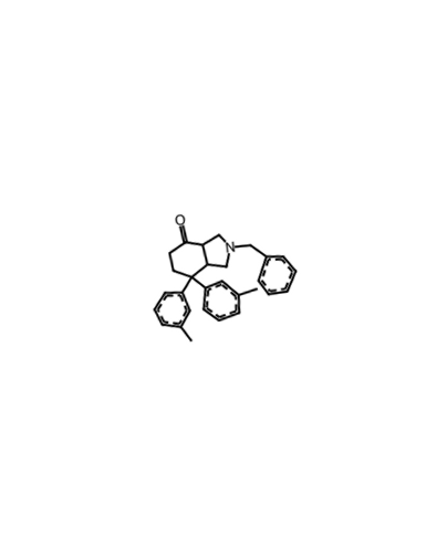 Cc1cccc(C2(c3cccc(C)c3)CCC(=O)C3CN(Cc4ccccc4)CC32)c1